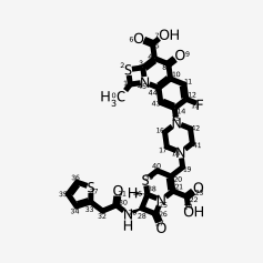 CC1Sc2c(C(=O)O)c(=O)c3cc(F)c(N4CCN(CC5=C(C(=O)O)N6C(=O)[C@@H](NC(=O)Cc7cccs7)[C@H]6SC5)CC4)cc3n21